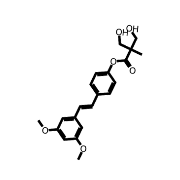 COc1cc(C=Cc2ccc(OC(=O)C(C)(CO)CO)cc2)cc(OC)c1